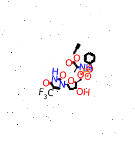 C#CCOC(=O)[C@H](C)NP(=O)(OC[C@@H]1O[C@H](n2cc(C(F)(F)F)c(=O)[nH]c2=O)C[C@H]1O)Oc1ccccc1